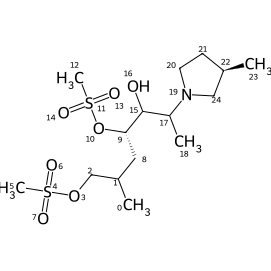 CC(COS(C)(=O)=O)C[C@H](OS(C)(=O)=O)C(O)C(C)N1CC[C@@H](C)C1